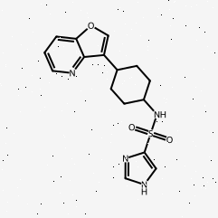 O=S(=O)(NC1CCC(c2coc3cccnc23)CC1)c1c[nH]cn1